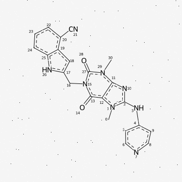 Cn1c(Nc2ccncc2)nc2c1c(=O)n(Cc1cc3c(C#N)cccc3[nH]1)c(=O)n2C